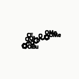 COc1ccc(CC(=O)N2CCC3(CC2)CCN(Cc2ccccc2OCC(C)C)C3OC(=O)C(F)(F)F)cc1OC